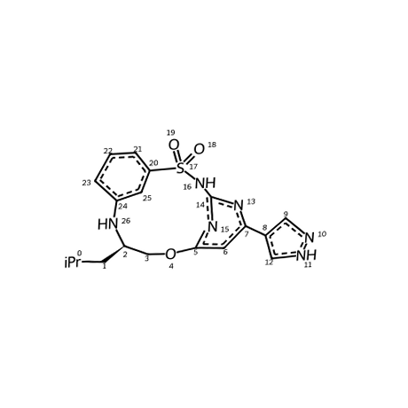 CC(C)C[C@@H]1COc2cc(-c3cn[nH]c3)nc(n2)NS(=O)(=O)c2cccc(c2)N1